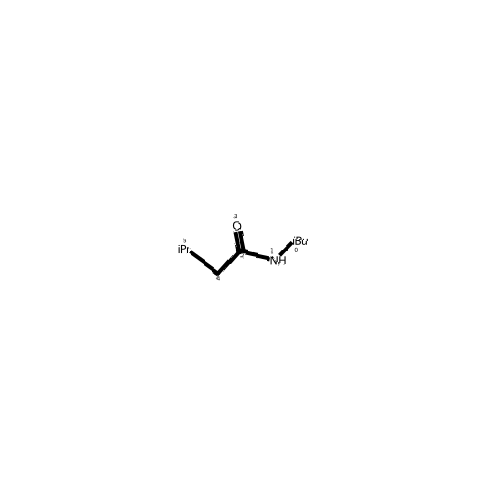 CCC(C)NC(=O)CC(C)C